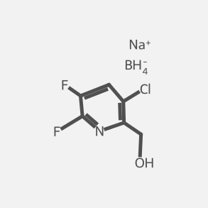 OCc1nc(F)c(F)cc1Cl.[BH4-].[Na+]